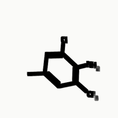 Cc1cc(Cl)c(N)c(C(F)(F)F)c1